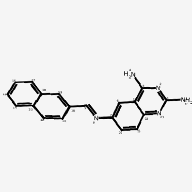 Nc1nc(N)c2cc(N=Cc3ccc4ccccc4c3)ccc2n1